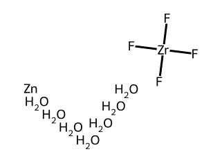 O.O.O.O.O.O.O.[F][Zr]([F])([F])[F].[Zn]